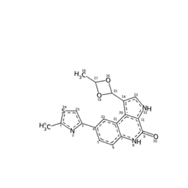 Cc1nc(-c2ccc3[nH]c(=O)c4[nH]cc(C5OC(C)O5)c4c3c2)cs1